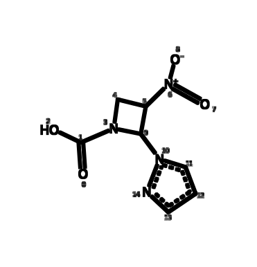 O=C(O)N1CC([N+](=O)[O-])C1n1cccn1